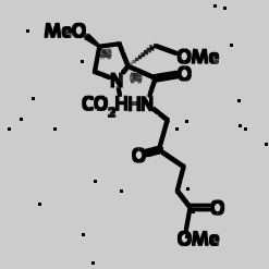 COC[C@@]1(C(=O)NCC(=O)CCC(=O)OC)C[C@H](OC)CN1C(=O)O